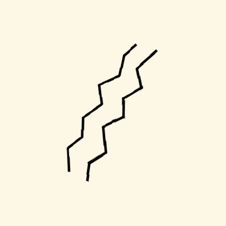 CCCCCCCCC.CCCCCCCCC